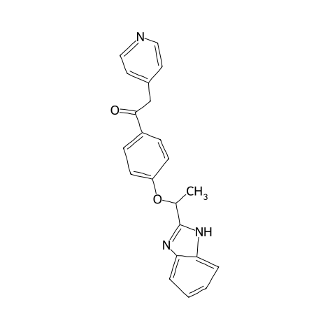 CC(Oc1ccc(C(=O)Cc2ccncc2)cc1)c1nc2ccccc2[nH]1